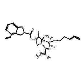 C=CCCCCC(C(F)(F)F)[C@@]1(C(=O)O)C(C)[C@@H](OC(=O)N2Cc3cccc(C=C)c3C2)CN1C(=O)[C@@H](N)C(C)C